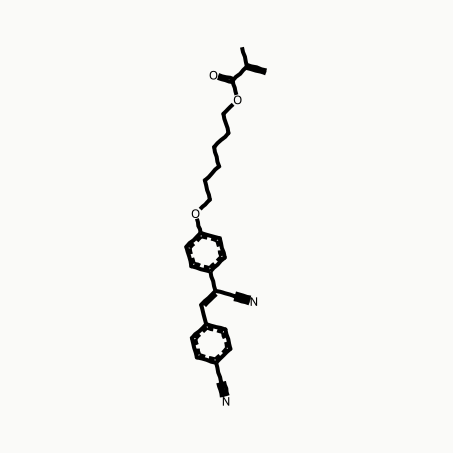 C=C(C)C(=O)OCCCCCCOc1ccc(C(C#N)=Cc2ccc(C#N)cc2)cc1